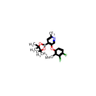 COc1c(Oc2cnc(C(F)(F)F)cc2B2OC(C)(C)C(C)(C)O2)ccc(F)c1F